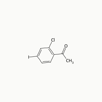 CC(=O)c1ccc(I)cc1Cl